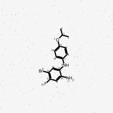 CC(C)Oc1ccc(Nc2cc(Br)c(F)cc2N)cc1